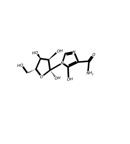 NC(=O)c1ncn([C@@]2(O)O[C@H](CO)[C@@H](O)[C@H]2O)c1O